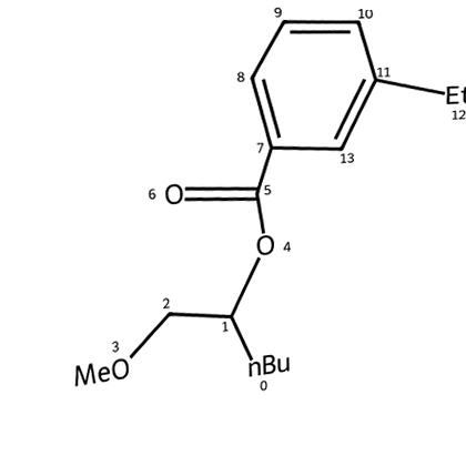 CCCCC(COC)OC(=O)c1cccc(CC)c1